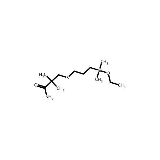 CCO[Si](C)(C)CCCSCC(C)(C)C(N)=O